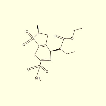 C[CH]OC(=O)N(CC)[C@H]1C=C(S(N)(=O)=O)SC2=C1C[C@H](C)S2(=O)=O